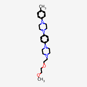 COCCOCCN1CCN(c2ccc(N3CCN(c4ccc(C)cc4)CC3)cc2)CC1